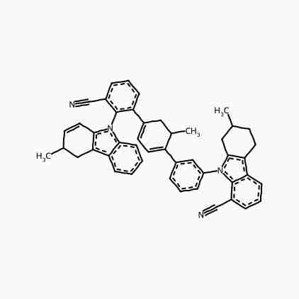 CC1C=Cc2c(c3ccccc3n2-c2c(C#N)cccc2C2=CC=C(c3cccc(-n4c5c(c6cccc(C#N)c64)CCC(C)C5)c3)C(C)C2)C1